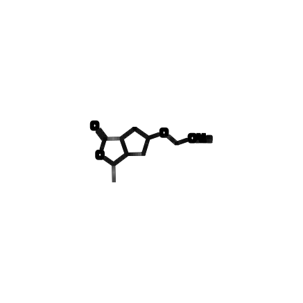 COCOC1CC2C(=O)OC(C)C2C1